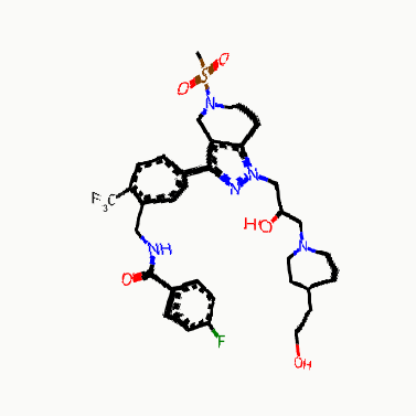 CS(=O)(=O)N1CCc2c(c(-c3ccc(C(F)(F)F)c(CNC(=O)c4ccc(F)cc4)c3)nn2CC(O)CN2CCC(CCO)CC2)C1